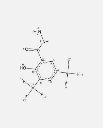 NNC(=O)c1cc(C(F)(F)F)cc(C(F)(F)F)c1O